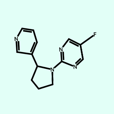 Fc1cnc(N2CCCC2c2cccnc2)nc1